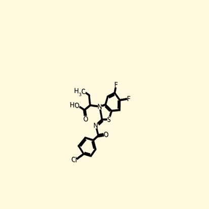 CCC(C(=O)O)n1/c(=N/C(=O)c2ccc(Cl)cc2)sc2cc(F)c(F)cc21